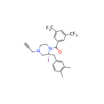 C#CCN1CCN(C(=O)c2cc(C(F)(F)F)cc(C(F)(F)F)c2)[C@@](I)(Cc2ccc(C)c(C)c2)C1